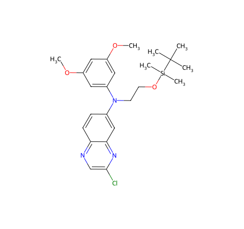 COc1cc(OC)cc(N(CCO[Si](C)(C)C(C)(C)C)c2ccc3ncc(Cl)nc3c2)c1